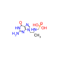 C[C@H](Cn1cnc2c(=O)[nH]c(N)nc21)NCP(=O)(O)O